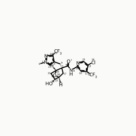 Cn1cc(C[C@]2(C(=O)Nc3cc(C(F)(F)F)c(Cl)cn3)C[C@H]3O[C@@H]2C[C@@H]3O)c(C(F)(F)F)n1